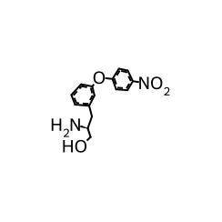 N[C@H](CO)Cc1cccc(Oc2ccc([N+](=O)[O-])cc2)c1